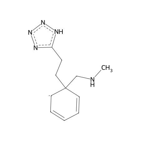 CNCC1(CCc2nnn[nH]2)[CH]C=CC=C1